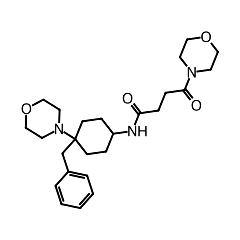 O=C(CCC(=O)N1CCOCC1)NC1CCC(Cc2ccccc2)(N2CCOCC2)CC1